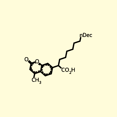 CCCCCCCCCCCCCCCCC(C(=O)O)c1ccc2c(C)cc(=O)oc2c1